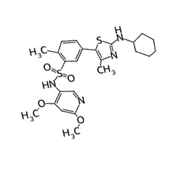 COc1cc(OC)c(NS(=O)(=O)c2cc(-c3sc(NC4CCCCC4)nc3C)ccc2C)cn1